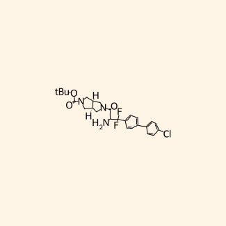 CC(C)(C)OC(=O)N1C[C@@H]2CN(C(=O)C(N)C(F)(F)c3ccc(-c4ccc(Cl)cc4)cc3)C[C@@H]2C1